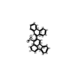 O=[N+]([O-])c1c(-c2cc3ccccc3c3ccccc23)cc2c3c(cccc13)-c1ccccc1-2